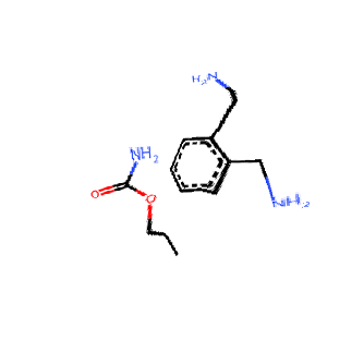 CCOC(N)=O.NCc1ccccc1CN